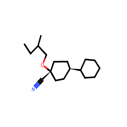 CCC(C)CO[C@]1(C#N)CC[C@@H](C2CCCCC2)CC1